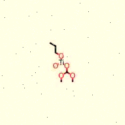 CCC[O][Ti](=[O])[O]C(OC)OC